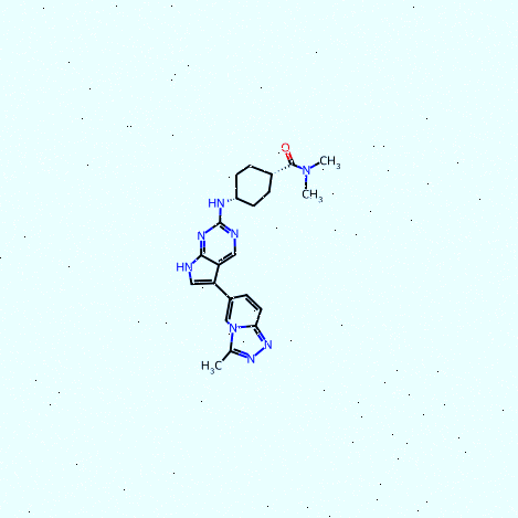 Cc1nnc2ccc(-c3c[nH]c4nc(N[C@H]5CC[C@@H](C(=O)N(C)C)CC5)ncc34)cn12